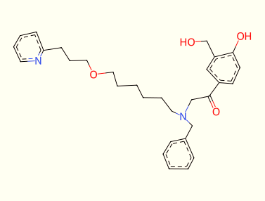 O=C(CN(CCCCCCOCCCc1ccccn1)Cc1ccccc1)c1ccc(O)c(CO)c1